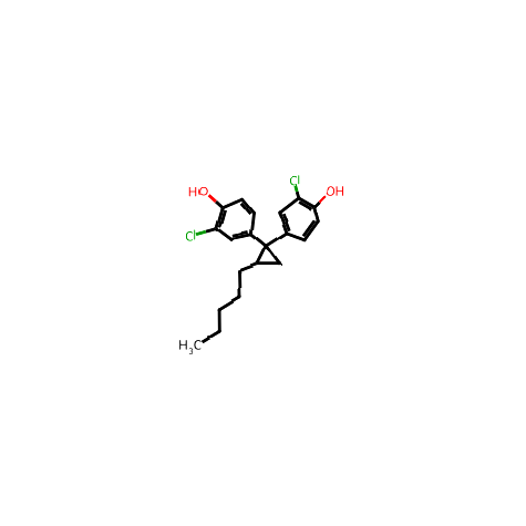 CCCCCC1CC1(c1ccc(O)c(Cl)c1)c1ccc(O)c(Cl)c1